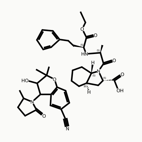 CC1CCC(=O)N1C1c2cc(C#N)ccc2OC(C)(C)C1O.CCOC(=O)[C@H](CCc1ccccc1)N[C@@H](C)C(=O)N1[C@H](C(=O)O)C[C@H]2CCCC[C@@H]21